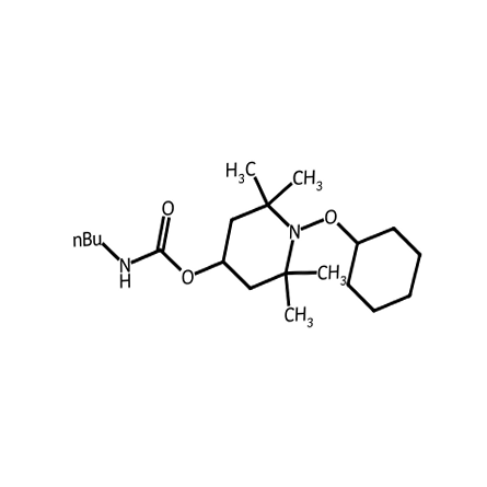 CCCCNC(=O)OC1CC(C)(C)N(OC2CCCCC2)C(C)(C)C1